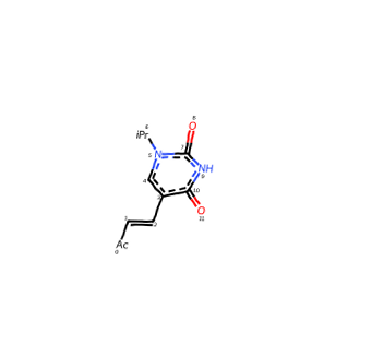 CC(=O)/C=C/c1cn(C(C)C)c(=O)[nH]c1=O